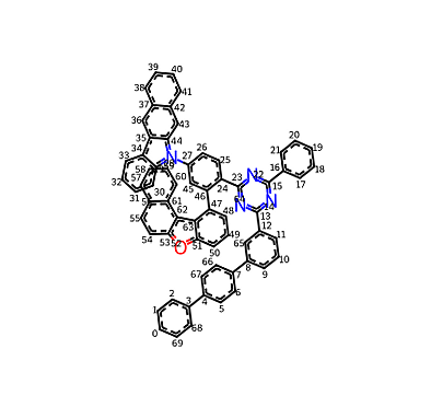 c1ccc(-c2ccc(-c3cccc(-c4nc(-c5ccccc5)nc(-c5ccc(-n6c7ccccc7c7cc8ccccc8cc76)cc5-c5cccc6oc7ccc8ccccc8c7c56)n4)c3)cc2)cc1